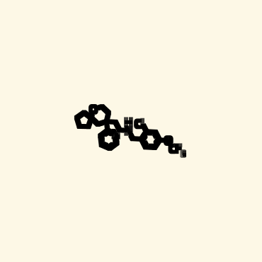 FC(F)(F)Oc1ccc(CNCCC2(c3ccccn3)CCOC3(CCCC3)C2)c(Cl)c1